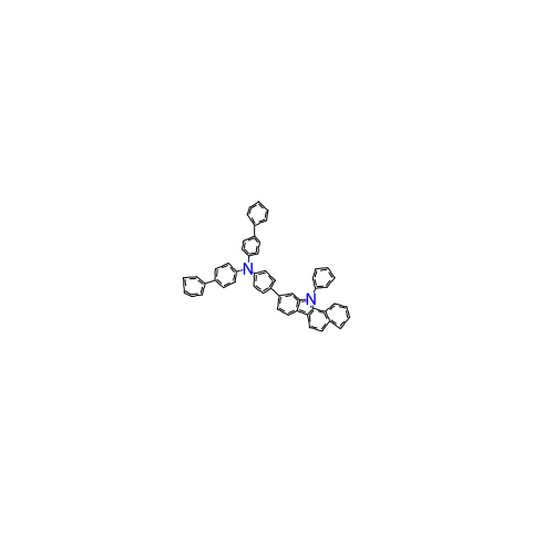 c1ccc(-c2ccc(N(c3ccc(-c4ccccc4)cc3)c3ccc(-c4ccc5c6ccc7ccccc7c6n(-c6ccccc6)c5c4)cc3)cc2)cc1